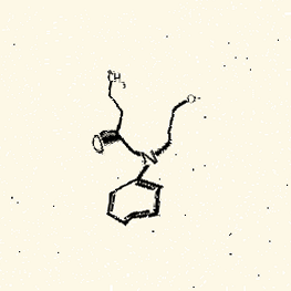 CCCC(=O)N(CC[O])c1ccccc1